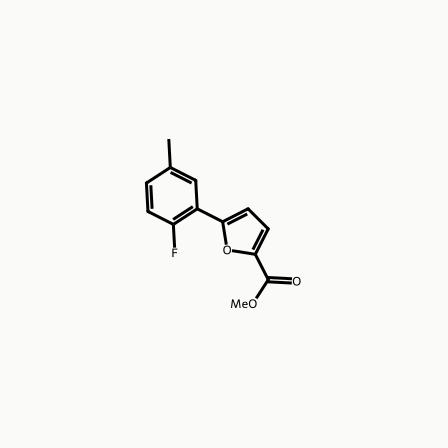 COC(=O)c1ccc(-c2cc(C)ccc2F)o1